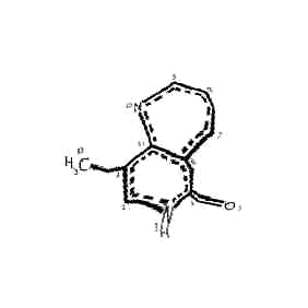 Cc1c[nH]c(=O)c2cccnc12